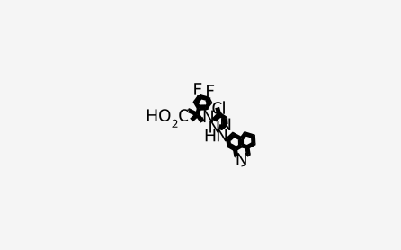 CN1Cc2cc(Nc3ncc(Cl)c(N4CC(C)(CC(=O)O)c5cc(F)c(F)cc54)n3)cc3c2C(CCC3)C1